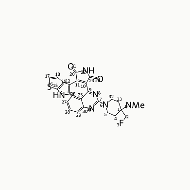 CNC1(CF)CCN(c2nc(C3=C(c4c[nH]c5sccc45)C(=O)NC3=O)c3ccccc3n2)CC1